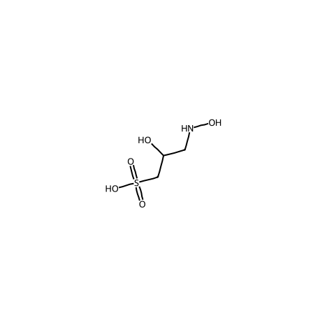 O=S(=O)(O)CC(O)CNO